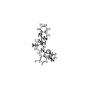 Cc1ccc(-n2nccn2)c(C(=O)N2CC[C@H]3CN(c4ncc5ccccc5n4)[C@@H]3C2)c1